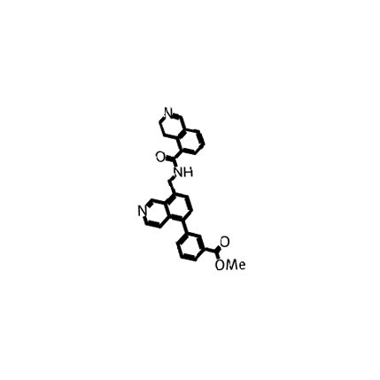 COC(=O)c1cccc(-c2ccc(CNC(=O)c3cccc4c3CCN=C4)c3cnccc23)c1